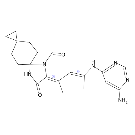 CC(/C=C(\C)Nc1cc(N)ncn1)=C1\C(=O)NC2(CCC3(CC3)CC2)N1C=O